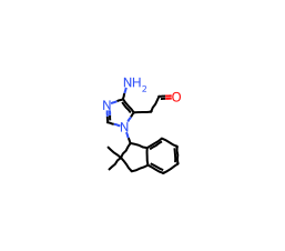 CC1(C)Cc2ccccc2C1n1cnc(N)c1CC=O